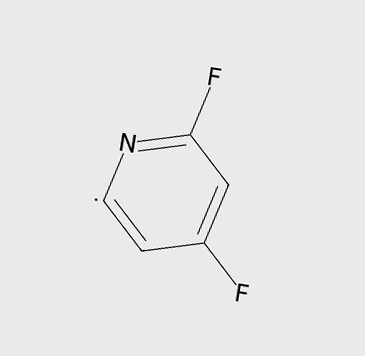 Fc1c[c]nc(F)c1